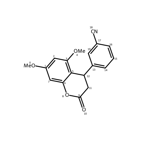 COc1cc(OC)c2c(c1)OC(=O)CC2c1cccc(C#N)c1